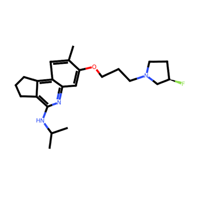 Cc1cc2c3c(c(NC(C)C)nc2cc1OCCCN1CC[C@@H](F)C1)CCC3